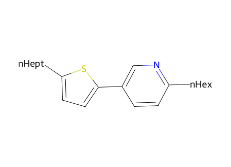 CCCCCCCc1ccc(-c2ccc(CCCCCC)nc2)s1